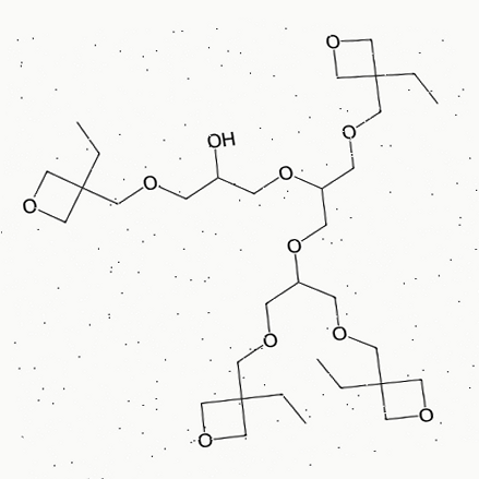 CCC1(COCC(O)COC(COCC2(CC)COC2)COC(COCC2(CC)COC2)COCC2(CC)COC2)COC1